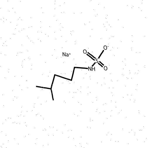 CC(C)CCCNS(=O)(=O)[O-].[Na+]